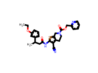 CCOc1cccc(C(C)CC(=O)Nc2sc3c(c2C#N)CCN(C(=O)OCc2ccccn2)C3)c1